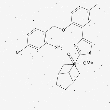 COC(=O)C1C2CCC1CN(c1nc(-c3cc(C)ccc3OCc3ccc(Br)cc3N)cs1)C2